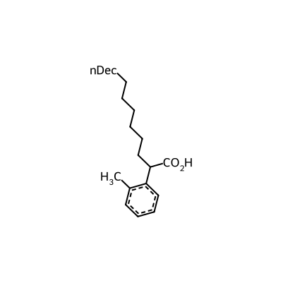 CCCCCCCCCCCCCCCCC(C(=O)O)c1ccccc1C